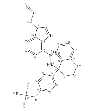 O=COn1cnc2c(C(=O)NC3(c4ccc(OC(F)(F)F)cc4)CCOc4cccnc43)cccc21